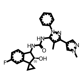 Cc1c(-c2cnn(C)c2)nn(-c2ccccc2)c1NC(=O)NC1c2ccc(F)cc2C2(CC2)[C@@H]1O